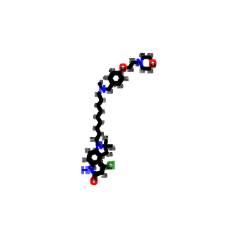 CN(CCCCCCCCCN1c2ccc3[nH]c(=O)cc(Cl)c3c2CC1(C)C)Cc1ccc(OCCN2CCOCC2)cc1